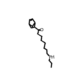 CCCPCCCCCCCC(=O)C1CC2C=CC1C2